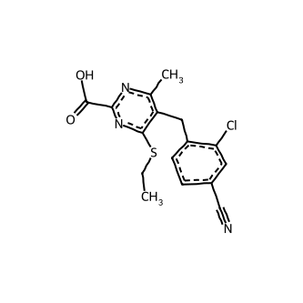 CCSc1nc(C(=O)O)nc(C)c1Cc1ccc(C#N)cc1Cl